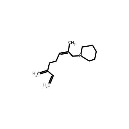 C=CC(=C)CC/C=C(/C)CN1CCCCC1